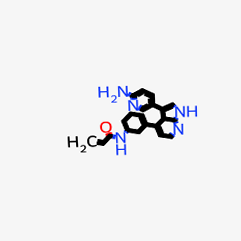 C=CC(=O)NC1CCC=C(C2=CC=NC3NC=C(c4ccc(N)nc4)C23)C1